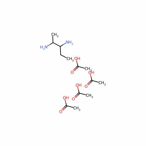 CC(=O)O.CC(=O)O.CC(=O)O.CC(=O)O.CCC(N)C(C)N